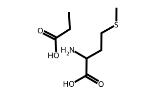 CCC(=O)O.CSCCC(N)C(=O)O